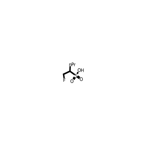 CCCC(CF)S(=O)(=O)O